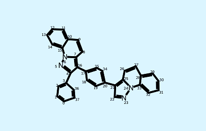 c1ccc(-c2nn3c(ccc4ccccc43)c2-c2ccc(-c3cnn4c3ccc3ccccc34)cc2)cc1